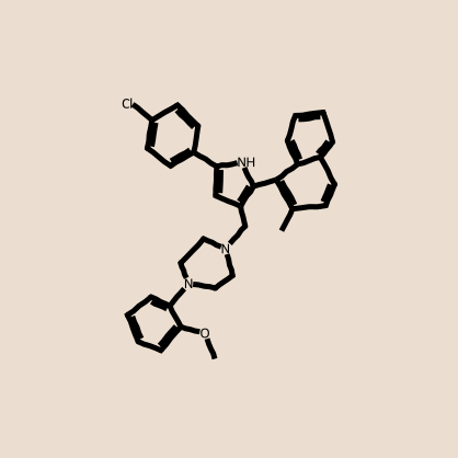 COc1ccccc1N1CCN(Cc2cc(-c3ccc(Cl)cc3)[nH]c2-c2c(C)ccc3ccccc23)CC1